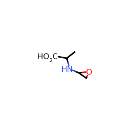 CC(NC1CO1)C(=O)O